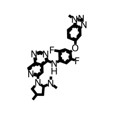 CC1CC(N(C)C)N(c2cc3c(Nc4cc(F)c(Oc5ccc6c(c5)nnn6C)cc4F)ncnc3cn2)C1